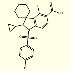 O=C(O)c1ccc2c(c1F)C1(CCSCC1)C(C1CC1)N2S(=O)(=O)c1ccc(F)cc1